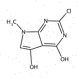 Cn1cc(O)c2c(O)nc(Cl)nc21